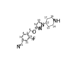 N#Cc1ccc(COc2ccn(C3CCNCC3)n2)c(F)c1